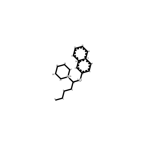 CCCCC(Oc1ccc2ccccc2c1)N1CCCCC1